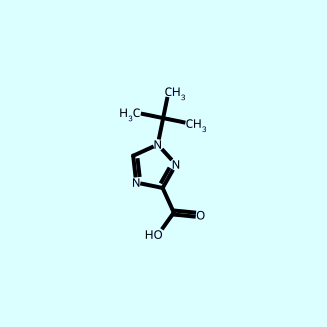 CC(C)(C)n1cnc(C(=O)O)n1